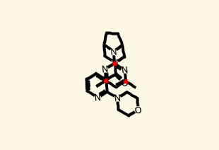 Cc1cc(C)nc(N2C3CCC2CN(C(=O)c2cccnc2N2CCOCC2)C3)n1